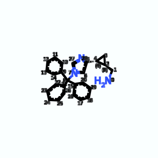 NC[C@@H]1C[C@H]1c1cn(C(c2ccccc2)(c2ccccc2)c2ccccc2)cn1